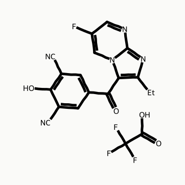 CCc1nc2ncc(F)cn2c1C(=O)c1cc(C#N)c(O)c(C#N)c1.O=C(O)C(F)(F)F